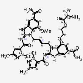 CCn1nc(C)cc1C(=O)/N=c1/[nH]c2cc(C(N)=O)cc(OC)c2n1C/C=C/Cn1/c(=N/C(=O)c2cc(C)nn2CC)[nH]c2cc(C(N)=O)cc(OCCOC(=O)[C@@H](N)C(C)C)c21